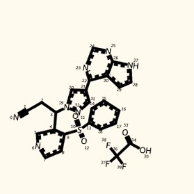 N#CCC(c1cnccc1S(=O)(=O)c1ccccc1)n1cc(-c2ncnc3[nH]ccc23)cn1.O=C(O)C(F)(F)F